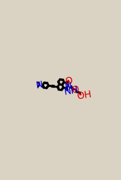 CN(C)c1ccc(C#Cc2ccc3c4c(cccc24)C(=O)N(CCOCCO)C3=N)cc1